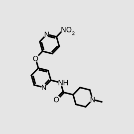 CN1CCC(C(=O)Nc2cc(Oc3ccc([N+](=O)[O-])nc3)ccn2)CC1